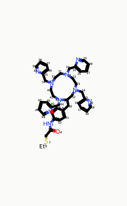 CCSCC(=O)Nc1ccc(CC2CN(Cc3ccccn3)CCN(Cc3ccccn3)CCN(Cc3ccccn3)CCN2Cc2ccccn2)cc1